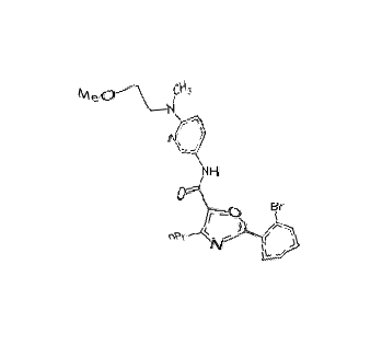 CCCc1nc(-c2ccccc2Br)oc1C(=O)Nc1ccc(N(C)CCOC)nc1